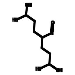 O=NC(CCC(O)S)CCC(O)S